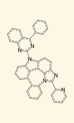 c1ccc(-c2nc(-n3c4cccc5c6ccccc6n6c(-c7ccccn7)nc7ccc3c(c54)c76)nc3ccccc23)cc1